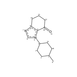 CC1CCC(n2cnc3c2C(=O)CCC3)CC1